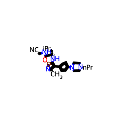 CCCN1CCN(c2ccc(-c3c(C)nsc3N[C@@H](CC(C)C)C(=O)NCC#N)cc2)CC1